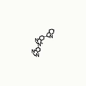 c1ccc2ncc(-c3ccc4nc[n+](-c5ccc6nccnc6c5)cc4c3)cc2c1